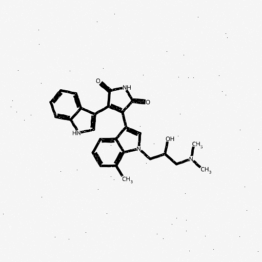 Cc1cccc2c(C3=C(c4c[nH]c5ccccc45)C(=O)NC3=O)cn(CC(O)CN(C)C)c12